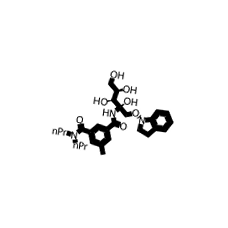 CCCN(CCC)C(=O)c1cc(C)cc(C(=O)N[C@](O)(CON2CCc3ccccc32)[C@H](O)[C@H](O)CO)c1